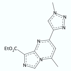 CCOC(=O)c1ncn2c(C)cc(-c3cn(C)nn3)nc12